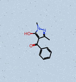 Cc1nn(C)c(O)c1C(=O)c1ccccc1